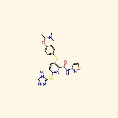 CC(Oc1ccc(Sc2ccc(Sc3nnc[nH]3)nc2C(=O)Nc2ccon2)cc1)N(C)C